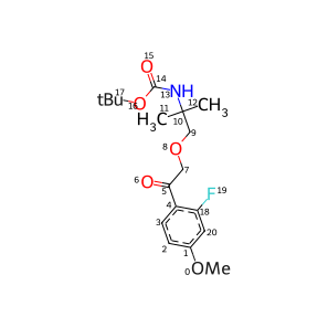 COc1ccc(C(=O)COCC(C)(C)NC(=O)OC(C)(C)C)c(F)c1